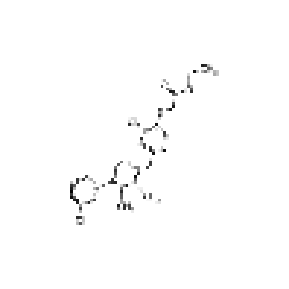 CCOC(=O)CSc1ccc(CN2CCN(c3cccc(Cl)c3)C(C)C2C)cc1Cl